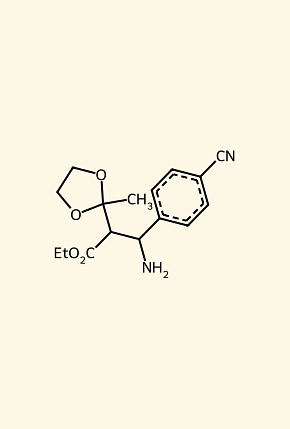 CCOC(=O)C(C(N)c1ccc(C#N)cc1)C1(C)OCCO1